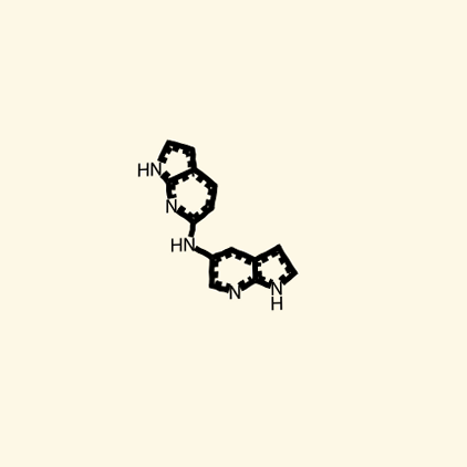 c1cc2cc(Nc3ccc4cc[nH]c4n3)cnc2[nH]1